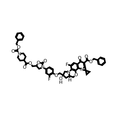 O=C(OCc1ccccc1)c1c2n(c3c4c(c(F)cc3c1=O)N1C[C@@](O)(COc3ccc(N5CC(COC(=O)C6CCN(C(=O)OCc7ccccc7)CC6)OC5=O)cc3F)C[C@H]1CO4)C21CC1